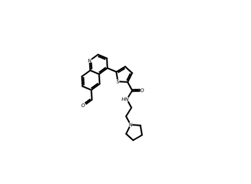 O=Cc1ccc2nccc(-c3ccc(C(=O)NCCN4CCCC4)s3)c2c1